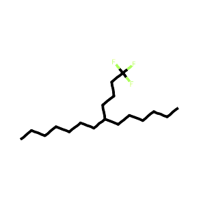 CCCCCCCC(CCCCCC)CCCC(F)(F)F